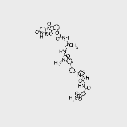 CN(CCNC(=O)COc1cccc2c1C(=O)N(C1CCC(=O)NC1=O)C2=O)CCNC(=O)CN(C)c1cc(-c2cccc(-c3csc(NC(=O)CNC(=O)c4ccn(S(C)(=O)=O)c4)n3)c2)ccn1